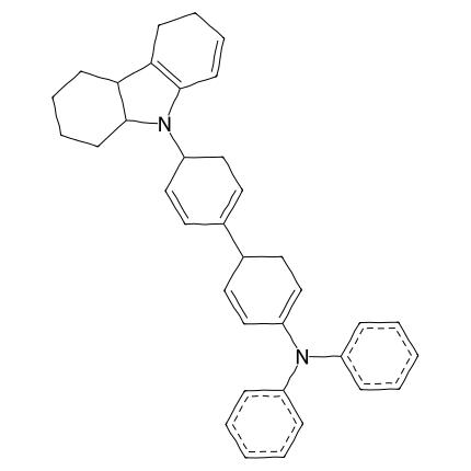 C1=CC2=C(CC1)C1CCCCC1N2C1C=CC(C2C=CC(N(c3ccccc3)c3ccccc3)=CC2)=CC1